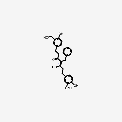 COc1cc(CC/C(O)=C(\Cc2ccccc2)C(=O)CCc2ccc(O)c(CO)c2)ccc1O